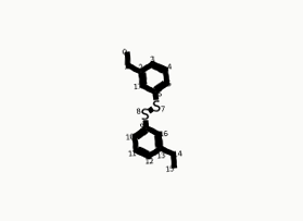 CCc1cccc(SSc2cccc(CC)c2)c1